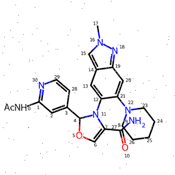 CC(=O)Nc1cc(C2OC=C(C(N)=O)N2c2cc3cn(C)nc3cc2N2CCCCC2)ccn1